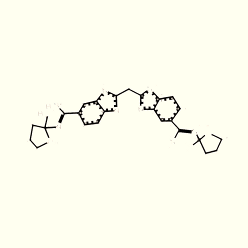 CC1(N=C(N)c2ccc3[nH]c(Cc4nc5cc(C(N)=NC6(C)CCCO6)ccc5[nH]4)nc3c2)CCCO1